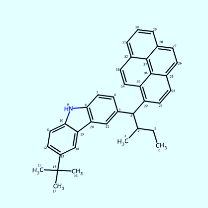 CCC(C)C(c1ccc2[nH]c3ccc(C(C)(C)C)cc3c2c1)c1ccc2ccc3cccc4ccc1c2c34